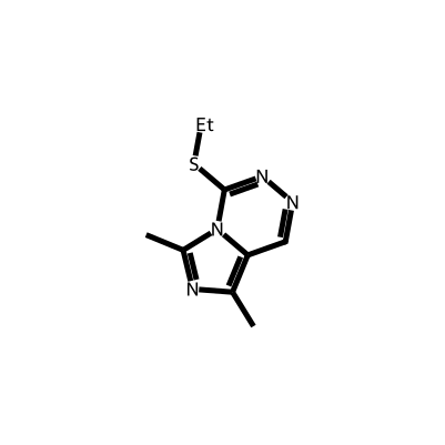 CCSc1nncc2c(C)nc(C)n12